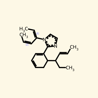 CC=CC(CC)C1CC=CC=C1c1nccn1C(/C=C\C)=C/C